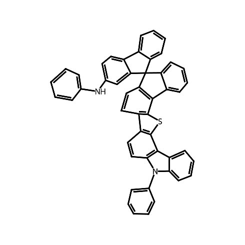 c1ccc(Nc2ccc3c(c2)C2(c4ccccc4-3)c3ccccc3-c3c2ccc2c3sc3c2ccc2c3c3ccccc3n2-c2ccccc2)cc1